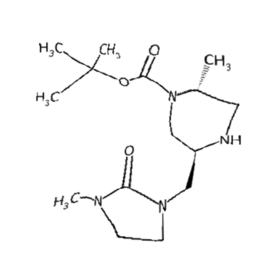 C[C@@H]1CN[C@@H](CN2CCN(C)C2=O)CN1C(=O)OC(C)(C)C